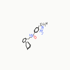 NC(Cc1ccc(C(=O)NCCCc2ccccc2-c2ccccc2)cc1)C(=O)O